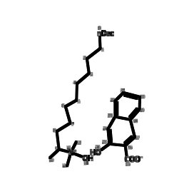 CCCCCCCCCCCCCCCCCCC(C)[N+](C)(C)O.O=C([O-])c1cc2ccccc2cc1O